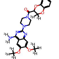 [2H]N([2H])c1nc(N2CCN(C(=O)C3Oc4ccccc4OC3([2H])[2H])CC2)nc2cc(OC([2H])([2H])[2H])c(OC([2H])([2H])[2H])cc12